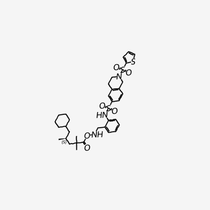 C[C@@H](CC1CCCCC1)CC(C)(C)C(=O)ONCc1ccccc1NS(=O)(=O)c1ccc2c(c1)CCN(S(=O)(=O)c1cccs1)C2